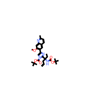 C=CCC(CC)(NC(=O)OC(C)(C)C)c1nc(-c2cc3ccc(C)nc3cc2OC)cn1C(=O)OC(C)(C)C